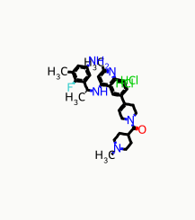 Cc1cc(N[C@H](C)c2cc(N)cc(C)c2F)c2cc(C3=CCN(C(=O)C4CCN(C)CC4)CC3)ccc2n1.Cl.Cl